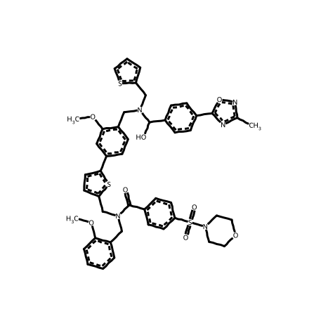 COc1ccccc1CN(Cc1ccc(-c2ccc(CN(Cc3cccs3)C(O)c3ccc(-c4nc(C)no4)cc3)c(OC)c2)s1)C(=O)c1ccc(S(=O)(=O)N2CCOCC2)cc1